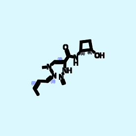 C=NN/C(=C\N(C)/N=C\C=C/C)C(=O)N[C@H]1CC[C@H]1O